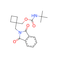 CC(C)(C)NC(=O)OCC1(CN2C(=O)c3ccccc3C2=O)CCC1